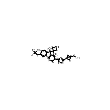 CC1(C(O)(c2ccc(CC(F)(F)F)cc2)c2cncc(-c3nc(C45CC(CO)(C4)C5)no3)c2)CNC1